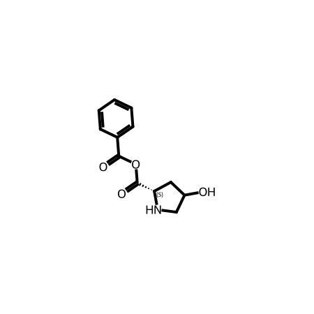 O=C(OC(=O)[C@@H]1CC(O)CN1)c1ccccc1